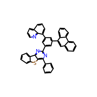 c1ccc(-c2nc(-c3cc(-c4cc5ccccc5c5ccccc45)cc(-c4cccc5cccnc45)c3)nc3c2sc2ccccc23)cc1